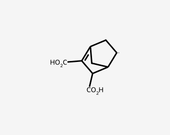 O=C(O)C1=C2C[CH]C(C2)C1C(=O)O